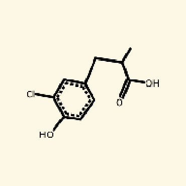 CC(Cc1ccc(O)c(Cl)c1)C(=O)O